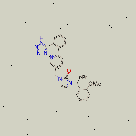 CCCC(c1ccccc1OC)n1ccn(Cc2ccc(-c3ccccc3-c3nnn[nH]3)nc2)c1=O